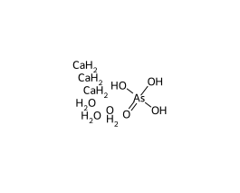 O.O.O.O=[As](O)(O)O.[CaH2].[CaH2].[CaH2]